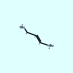 [CH2]CCC/C=C/CC(C)(C)C